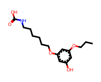 CCCOc1cc(O)cc(OCCCCCCNC(=O)O)c1